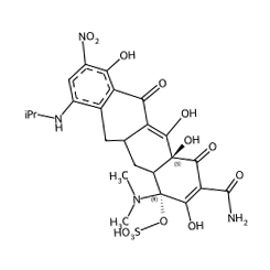 CC(C)Nc1cc([N+](=O)[O-])c(O)c2c1CC1CC3[C@@](O)(C(=O)C(C(N)=O)=C(O)[C@@]3(OS(=O)(=O)O)N(C)C)C(O)=C1C2=O